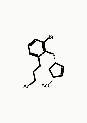 CC(=O)CCCc1cccc(Br)c1C[C@@H]1C=C[C@H](OC(C)=O)C1